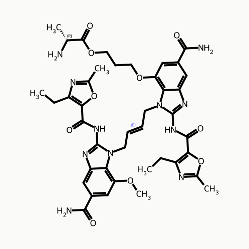 CCc1nc(C)oc1C(=O)Nc1nc2cc(C(N)=O)cc(OC)c2n1C/C=C/Cn1c(NC(=O)c2oc(C)nc2CC)nc2cc(C(N)=O)cc(OCCCOC(=O)[C@@H](C)N)c21